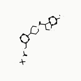 CC(C)(C)OC(=O)NCc1cccc(C2CCN(C(=O)C3CNc4cc([SH](C)(C)=O)ccc43)CC2)c1